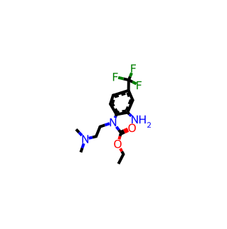 CCOC(=O)N(CCN(C)C)c1ccc(C(F)(F)F)cc1N